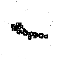 CCC(C)(C)NC1CCN(c2ccc(N3Cc4cn(-c5ccc(Cl)cc5)nc4C3=O)cn2)C1